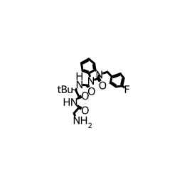 CC(C)(C)[C@H](NC(=O)n1c(=O)n(Cc2ccc(F)cc2)c2ccccc21)C(=O)NC(=O)CN